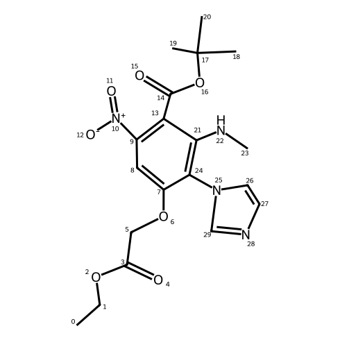 CCOC(=O)COc1cc([N+](=O)[O-])c(C(=O)OC(C)(C)C)c(NC)c1-n1ccnc1